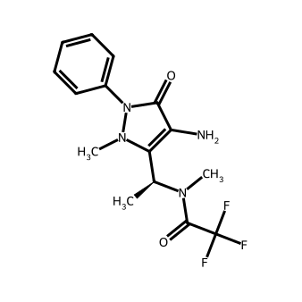 C[C@@H](c1c(N)c(=O)n(-c2ccccc2)n1C)N(C)C(=O)C(F)(F)F